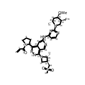 C=CC(=O)N1CCCC1c1nnc(N2C[C@H](CS(C)(=O)=O)[C@H]2C)c2cnc(Nc3ccnc(N4C[C@H](F)[C@H](OC)C[C@H]4C)n3)cc12